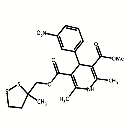 COC(=O)C1=C(C)NC(C)=C(C(=O)OCC2(C)CCSS2)C1c1cccc([N+](=O)[O-])c1